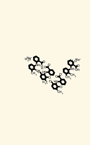 Cc1ccc(Cl)c(Nc2ccccc2C(=O)[O-])c1Cl.Cc1ccc(Cl)c(Nc2ccccc2C(=O)[O-])c1Cl.Cc1cccc(Nc2ccccc2C(=O)O)c1C.Cc1cccc(Nc2ccccc2C(=O)O)c1C.O.O.[Na+].[Na+]